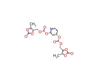 Cc1oc(=O)oc1COC(=O)Oc1ccnc(OC(=O)OCc2oc(=O)oc2C)c1